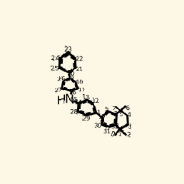 CC1(C)CCC(C)(C)c2cc(-c3ccc(Nc4ccc(-c5ccccc5)cc4)cc3)ccc21